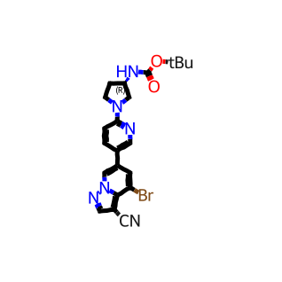 CC(C)(C)OC(=O)N[C@@H]1CCN(c2ccc(-c3cc(Br)c4c(C#N)cnn4c3)cn2)C1